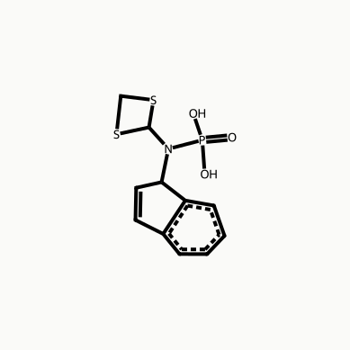 O=P(O)(O)N(C1SCS1)C1C=Cc2ccccc21